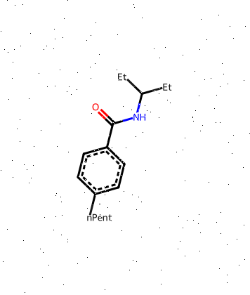 [CH2]CCCCc1ccc(C(=O)NC(CC)CC)cc1